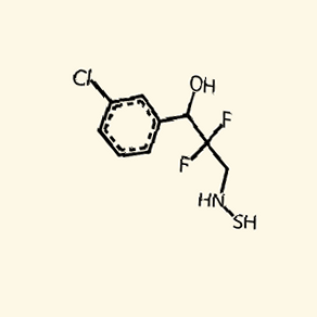 OC(c1cccc(Cl)c1)C(F)(F)CNS